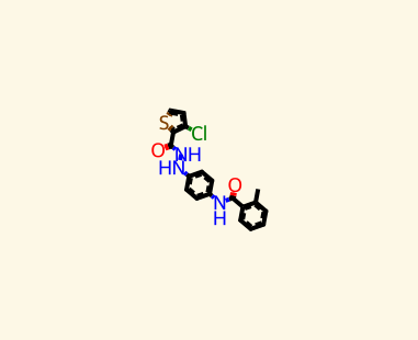 Cc1ccccc1C(=O)Nc1ccc(NNC(=O)c2sccc2Cl)cc1